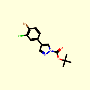 CC(C)(C)OC(=O)n1cc(-c2ccc(Br)c(Cl)c2)cn1